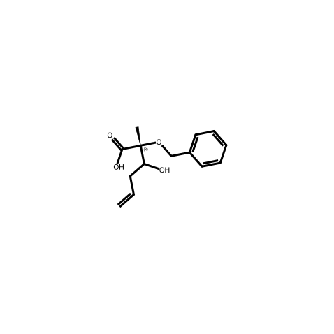 C=CCC(O)[C@@](C)(OCc1ccccc1)C(=O)O